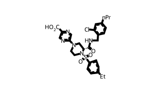 CCCc1ccc(CNC(=O)[C@H]2CN(c3cnc(C(=O)O)cn3)CCN2S(=O)(=O)c2ccc(CC)cc2)c(Cl)c1